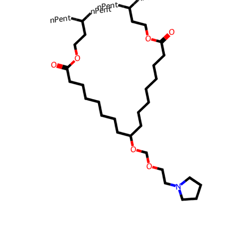 CCCCCC(CCCCC)CCOC(=O)CCCCCCCC(CCCCCCCC(=O)OCCC(CCCCC)CCCCC)OCOCCN1CCCC1